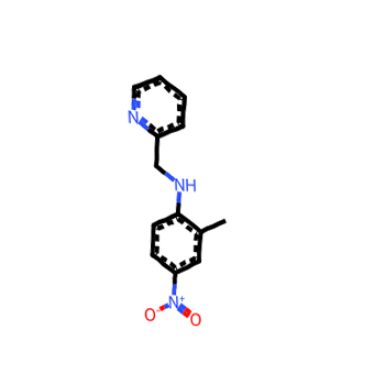 Cc1cc([N+](=O)[O-])ccc1NCc1ccccn1